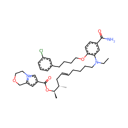 CCN(CCCC/C=C/C[C@H](C)[C@@H](C)OC(=O)c1cc2n(c1)CCOC2)c1cc(C(N)=O)ccc1OCCCCc1cccc(Cl)c1